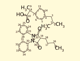 CC(C)Cc1ccc(C(C)C(=O)O)cc1.CCCCC1C(=O)N(c2ccccc2)N(c2ccccc2)C1=O